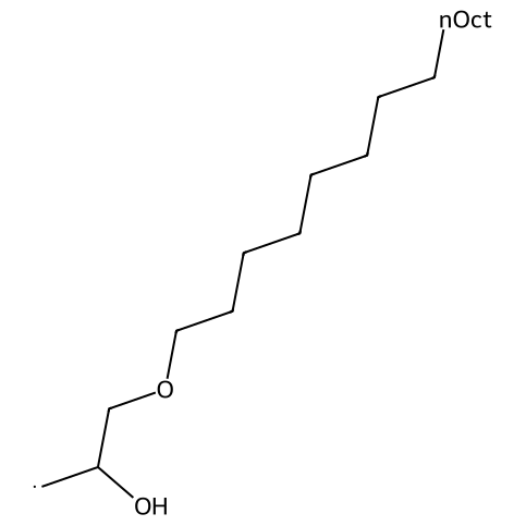 [CH2]C(O)COCCCCCCCCCCCCCCCC